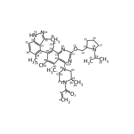 C=CC(=O)N1C[C@H](C)N(c2nc(OCC3CCCN3C(C)C)nc3c(F)c(-c4c(C)ccc5[nH]nc(C)c45)c(Cl)cc23)C[C@H]1C